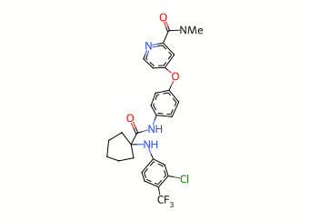 CNC(=O)c1cc(Oc2ccc(NC(=O)C3(Nc4ccc(C(F)(F)F)c(Cl)c4)CCCCC3)cc2)ccn1